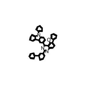 c1ccc(-c2cccc(-c3nc(-c4ccc5c(c4)c4ccccc4n5-c4ccccc4)c4c(ccc5c6ccccc6oc54)n3)c2)cc1